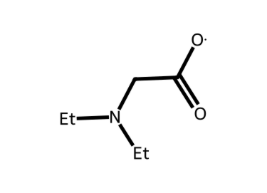 CCN(CC)CC([O])=O